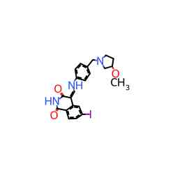 CO[C@@H]1CCN(Cc2ccc(NC=C3C(=O)NC(=O)c4ccc(I)cc43)cc2)C1